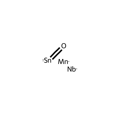 [Mn].[Nb].[O]=[Sn]